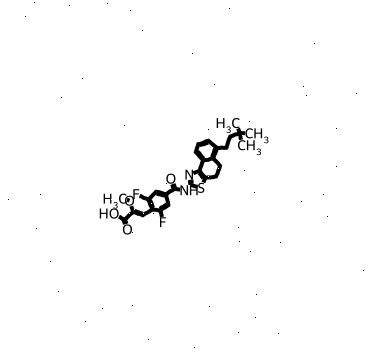 CO/C(=C\c1c(F)cc(C(=O)Nc2nc3c(s2)CCc2c(CCC(C)(C)C)cccc2-3)cc1F)C(=O)O